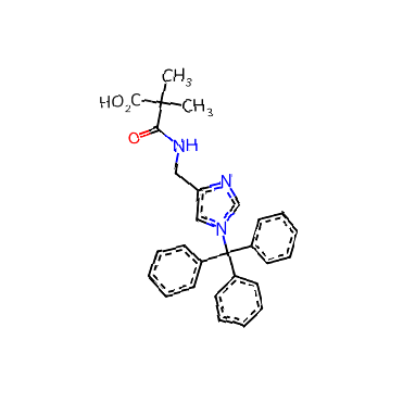 CC(C)(C(=O)O)C(=O)NCc1cn(C(c2ccccc2)(c2ccccc2)c2ccccc2)cn1